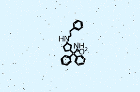 NC(=O)C(c1ccccc1)(c1ccccc1)C1CCC(NCCc2ccccc2)C1